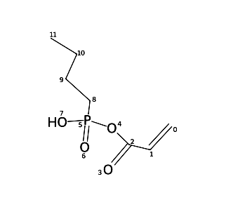 C=CC(=O)OP(=O)(O)CCCC